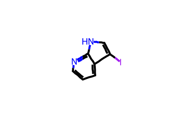 Ic1c[nH]c2ncccc12